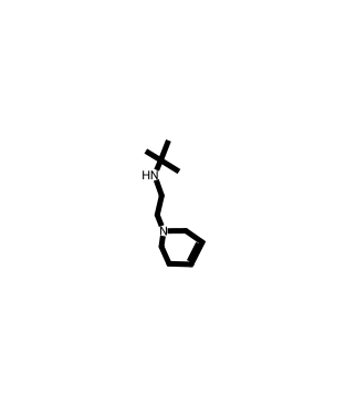 CC(C)(C)NCCN1CC=CCC1